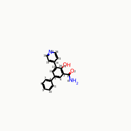 NC(=O)c1cc(-c2ccccc2)cc(-c2ccncc2)c1O